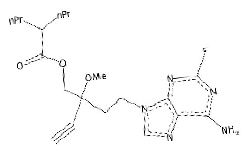 C#CC(CCn1cnc2c(N)nc(F)nc21)(COC(=O)C(CCC)CCC)OC